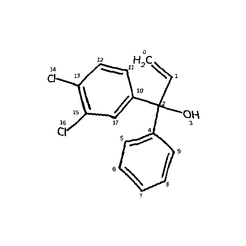 C=CC(O)(c1ccccc1)c1ccc(Cl)c(Cl)c1